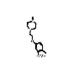 COc1cc(OCCN2CCN(C)CC2)ccc1C